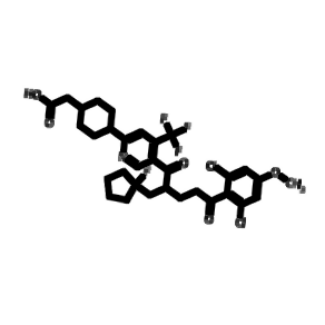 COc1cc(Cl)c(C(=O)CCC(CC2(F)CCCC2)C(=O)c2cnc(C3CCC(CC(=O)O)CC3)cc2C(F)(F)F)c(Cl)c1